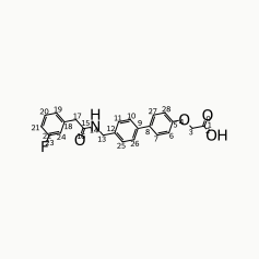 O=C(O)COc1ccc(-c2ccc(CNC(=O)Cc3cccc(F)c3)cc2)cc1